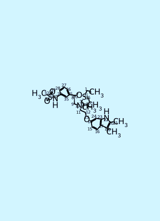 CC[Si](CC)(CC)O[C@@H](CNCCOc1ccc2c(C)c(C)[nH]c2c1)c1cccc(NS(C)(=O)=O)c1